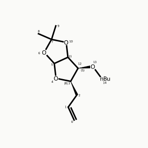 C=CC[C@H]1OC2OC(C)(C)OC2[C@H]1OCCCC